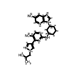 CC(O)Cn1cc(-c2nc(N[C@@H]3CCC[C@H](n4cnc5cc(C#N)cnc54)C3)ncc2C#N)cn1